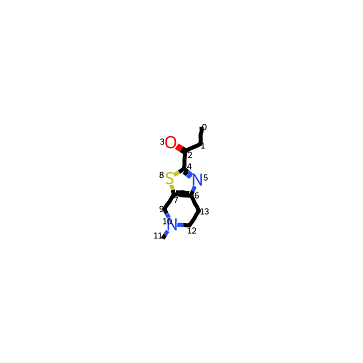 CCC(=O)c1nc2c(s1)CN(C)CC2